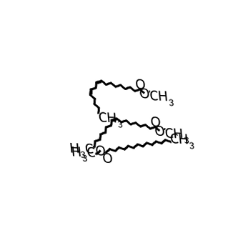 CCCCC/C=C\C/C=C\CCCCCCCC(=O)OCC.CCCCCCCC/C=C\CCCCCCCC(=O)OCC.CCCCCCCCCCCCCCCC(=O)OCC